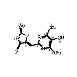 CC(C)(C)c1nc(/C=C2\SC(=N)NC2=O)nc(C(C)(C)C)c1O